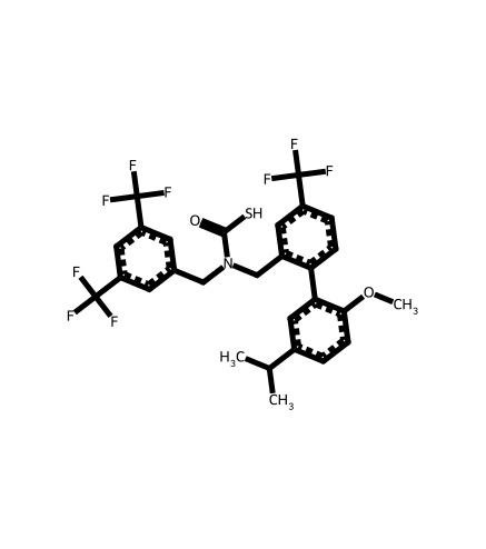 COc1ccc(C(C)C)cc1-c1ccc(C(F)(F)F)cc1CN(Cc1cc(C(F)(F)F)cc(C(F)(F)F)c1)C(=O)S